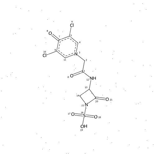 O=C(Cn1cc(Cl)c(=O)c(Cl)c1)NC1CN(S(=O)(=O)O)C1=O